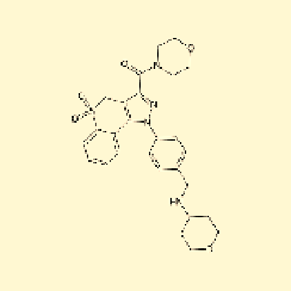 O=C(c1nn(-c2ccc(CNC3CCOCC3)cc2)c2c1CS(=O)(=O)c1ccccc1-2)N1CCOCC1